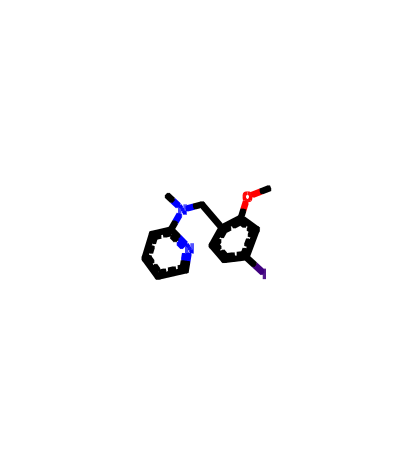 COc1cc(I)ccc1CN(C)c1ccccn1